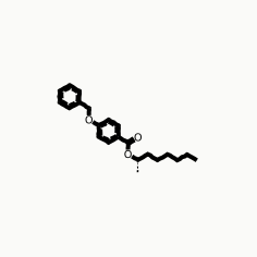 CCCCCC[C@H](C)OC(=O)c1ccc(OCc2ccccc2)cc1